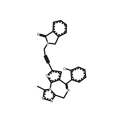 Cc1nnc2n1-c1sc(C#CCN3Cc4ccccc4C3=O)cc1C(c1ccccc1Cl)=NC2